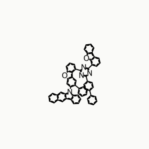 c1ccc(-c2ccc(-c3nc(-c4cccc5c4oc4ccccc45)nc(-c4cccc5oc6cc(-n7c8ccccc8c8cc9ccccc9cc87)c(-c7ccccc7)cc6c45)n3)cc2)cc1